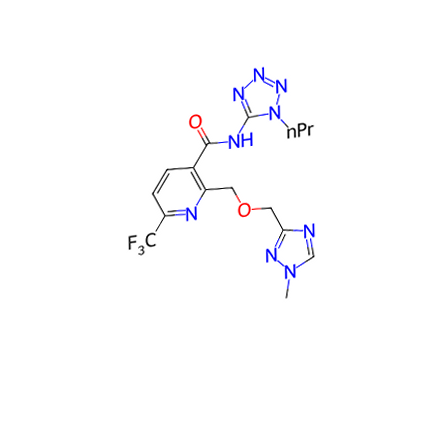 CCCn1nnnc1NC(=O)c1ccc(C(F)(F)F)nc1COCc1ncn(C)n1